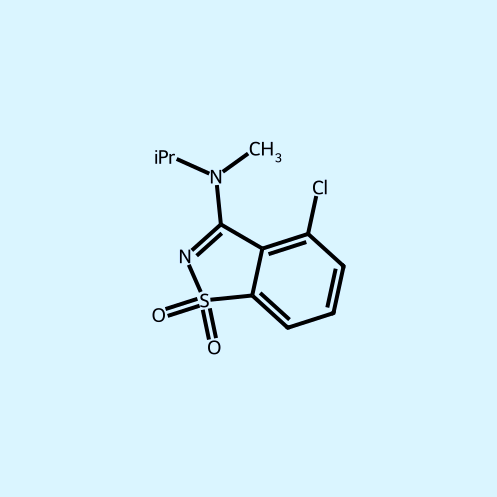 CC(C)N(C)C1=NS(=O)(=O)c2cccc(Cl)c21